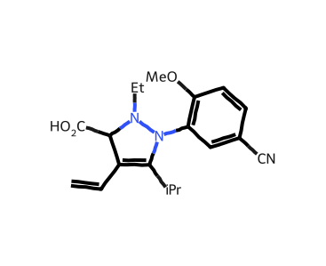 C=CC1=C(C(C)C)N(c2cc(C#N)ccc2OC)N(CC)C1C(=O)O